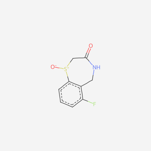 O=C1C[S+]([O-])c2cccc(F)c2CN1